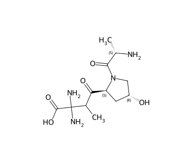 CC(C(=O)[C@@H]1C[C@@H](O)CN1C(=O)[C@H](C)N)C(N)(N)C(=O)O